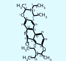 CCN(CC)C(C)Oc1ccc2c(c1)nc(Cl)c1cc(OC(C)N(CC)CC)ccc12